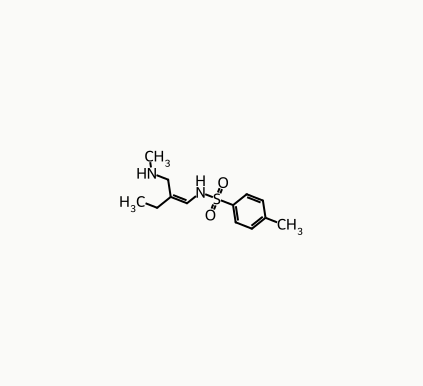 CC/C(=C/NS(=O)(=O)c1ccc(C)cc1)CNC